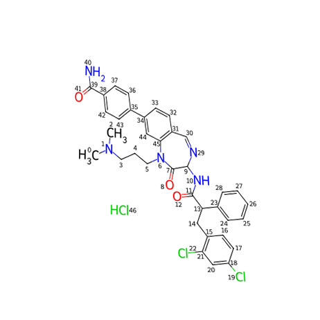 CN(C)CCCN1C(=O)C(NC(=O)C(Cc2ccc(Cl)cc2Cl)c2ccccc2)N=Cc2ccc(-c3ccc(C(N)=O)cc3)cc21.Cl